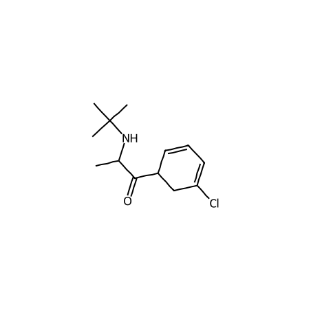 CC(NC(C)(C)C)C(=O)C1C=CC=C(Cl)C1